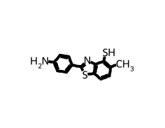 Cc1ccc2sc(-c3ccc(N)cc3)nc2c1S